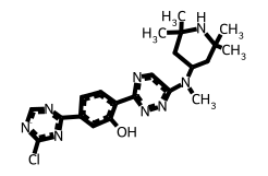 CN(c1cnc(-c2ccc(-c3ncnc(Cl)n3)cc2O)nn1)C1CC(C)(C)NC(C)(C)C1